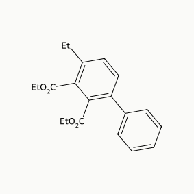 CCOC(=O)c1c(CC)ccc(-c2ccccc2)c1C(=O)OCC